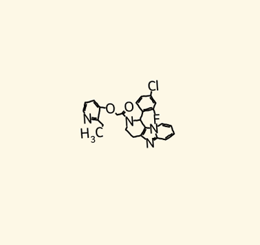 CCc1ncccc1OCC(=O)N1CCc2nc3ccccn3c2C1c1ccc(Cl)cc1F